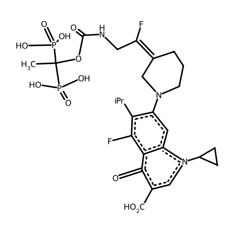 CC(C)c1c(N2CCC/C(=C(\F)CNC(=O)OC(C)(P(=O)(O)O)P(=O)(O)O)C2)cc2c(c1F)c(=O)c(C(=O)O)cn2C1CC1